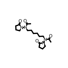 CC(=O)N(CCCCCCN(C(C)=O)N1CCCC1=O)N1CCCC1=O